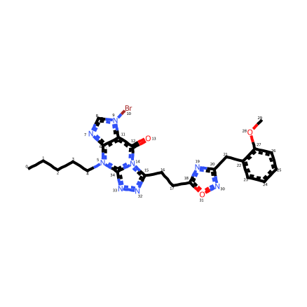 CCCCCn1c2ncn(Br)c2c(=O)n2c(CCc3nc(Cc4ccccc4OC)no3)nnc12